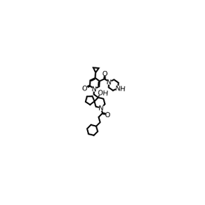 O=C(CCC1CCCCC1)N1CC[C@@](O)(Cn2cc(C(=O)N3CCNCC3)c(C3CC3)cc2=O)C2(CCCC2)C1